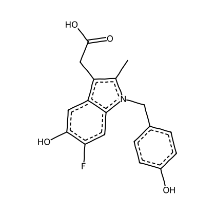 Cc1c(CC(=O)O)c2cc(O)c(F)cc2n1Cc1ccc(O)cc1